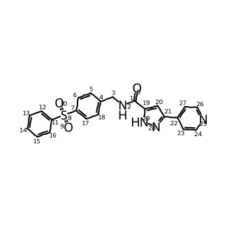 O=C(NCc1ccc(S(=O)(=O)c2ccccc2)cc1)c1cc(-c2ccncc2)n[nH]1